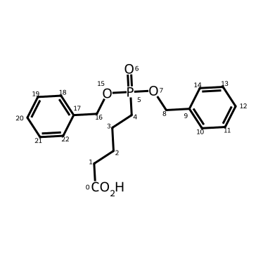 O=C(O)CCCCP(=O)(OCc1ccccc1)OCc1ccccc1